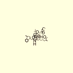 C=C=CC(=O)CC[C@H](NC(=O)[C@H](CCCCCC(=C)C(C)=O)NC(=O)CC1=CCC(=C)c2ccccc21)C(=O)OC(C)C